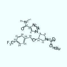 CN(C)C(=O)c1cn([C@@H]2CN(C(=O)OC(C)(C)C)C[C@H]2OCc2ccc(C(F)(F)F)cc2)nn1